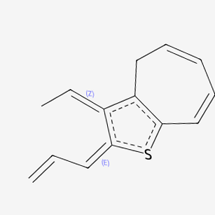 C=C/C=c1/sc2c(/c1=C/C)CC=CC=C2